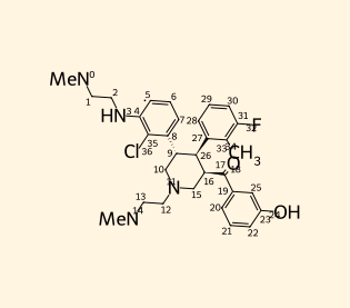 CNCCNc1[c]ccc([C@H]2CN(CCNC)C[C@H](C(=O)c3cccc(O)c3)[C@@H]2c2cccc(F)c2C)c1Cl